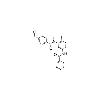 Cc1ccc(NC(=O)c2ccccc2)cc1NC(=O)c1ccc(CCl)cc1